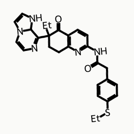 CCSc1ccc(CC(=O)Nc2ccc3c(n2)CCC(CC)(C2=NC=CN4C=CNC24)C3=O)cc1